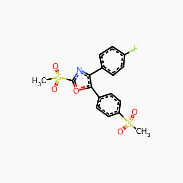 CS(=O)(=O)c1ccc(-c2oc(S(C)(=O)=O)nc2-c2ccc(F)cc2)cc1